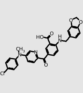 CN(c1ccc(Cl)cc1)c1ccc(C(=O)c2ccc(NCc3ccc4c(c3)OCO4)c(C(=O)O)c2)nc1